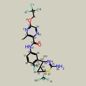 Cc1nc(OCC(F)(F)F)cnc1C(=O)Nc1ccc(F)c([C@@]2(C)N=C(N)S[C@@]3(C(F)F)C[C@@H]23)c1